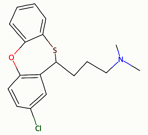 CN(C)CCCC1Sc2ccccc2Oc2ccc(Cl)cc21